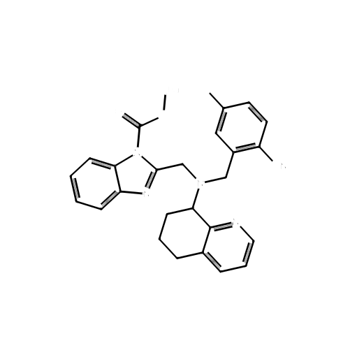 CC(C)(C)OC(=O)n1c(CN(Cc2cc(F)ccc2C#N)C2CCCc3cccnc32)nc2ccccc21